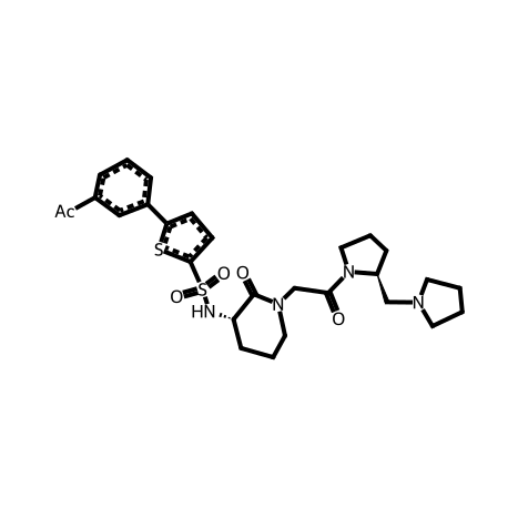 CC(=O)c1cccc(-c2ccc(S(=O)(=O)N[C@H]3CCCN(CC(=O)N4CCC[C@H]4CN4CCCC4)C3=O)s2)c1